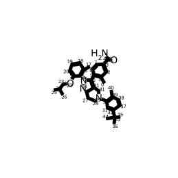 Cc1cc(C(N)=O)ccc1-c1c2c(nn1-c1c(C)cccc1OCC(C)C)CCN(c1cc(C(C)(C)C)ccc1C)C2